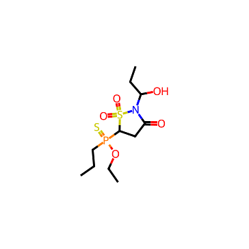 CCCP(=S)(OCC)C1CC(=O)N(C(O)CC)S1(=O)=O